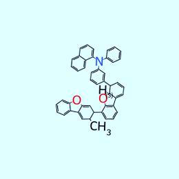 CC1C=c2c(oc3ccccc23)=CC1c1cccc2c1O[C@@H]1C2=CC=CC1c1cccc(N(c2ccccc2)c2cccc3ccccc23)c1